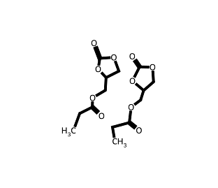 CCC(=O)OCC1COC(=O)O1.CCC(=O)OCC1COC(=O)O1